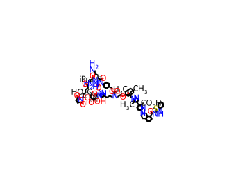 Cc1c(-c2ccc(N3CCc4cccc(C(=O)Nc5nc6ccccc6s5)c4C3)nc2C(=O)O)cnn1CC12CC3(C)CC(C)(C1)CC(OCCN(CCCc1cn([C@@H]4O[C@H](C(=O)O)[C@@H](O)[C@H](O)[C@H]4O)nn1)C(=O)OCc1ccc(N(C(N)=O)C(=O)[C@H](CCCN)NC(=O)[C@@H](NC(=O)CCCCCN4C(=O)C=CC4=O)C(C)C)cc1)(C3)C2